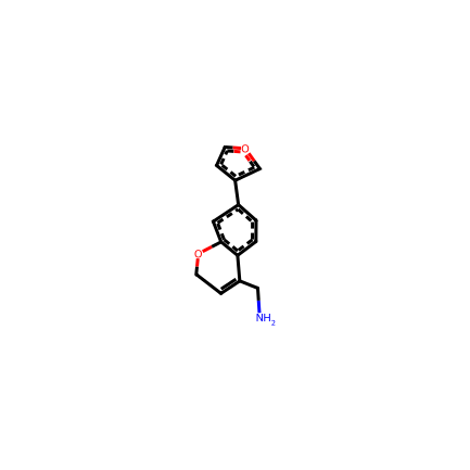 NCC1=CCOc2cc(-c3ccoc3)ccc21